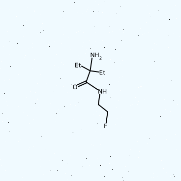 CCC(N)(CC)C(=O)NCCF